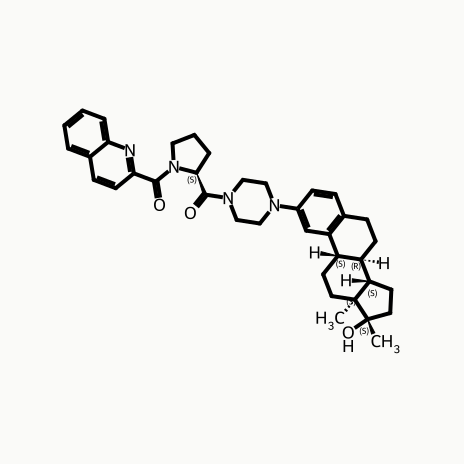 C[C@]1(O)CC[C@H]2[C@@H]3CCc4ccc(N5CCN(C(=O)[C@@H]6CCCN6C(=O)c6ccc7ccccc7n6)CC5)cc4[C@H]3CC[C@@]21C